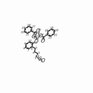 O=C=NCCCc1ccccc1O[SiH](OC(=O)c1ccccc1)OC(=O)c1ccccc1